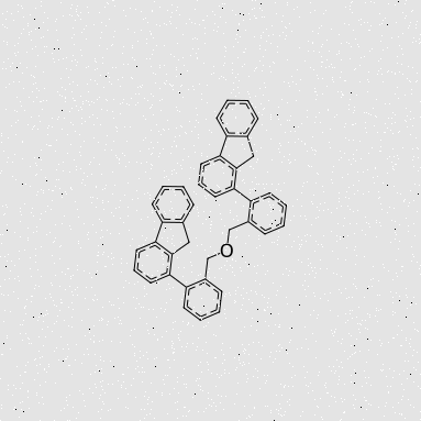 c1ccc(-c2cccc3c2Cc2ccccc2-3)c(COCc2ccccc2-c2cccc3c2Cc2ccccc2-3)c1